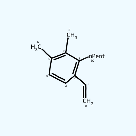 C=Cc1ccc(C)c(C)c1CCCCC